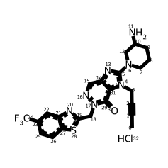 CC#CCn1c(N2CCCC(N)C2)nc2cnn(Cc3nc4cc(C(F)(F)F)ccc4s3)c(=O)c21.Cl